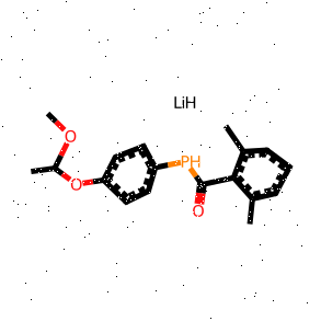 COC(C)Oc1ccc(PC(=O)c2c(C)cccc2C)cc1.[LiH]